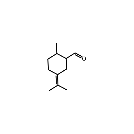 CC(C)=C1CCC(C)C(C=O)C1